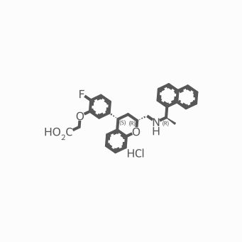 C[C@@H](NC[C@H]1C[C@@H](c2ccc(F)c(OCC(=O)O)c2)c2ccccc2O1)c1cccc2ccccc12.Cl